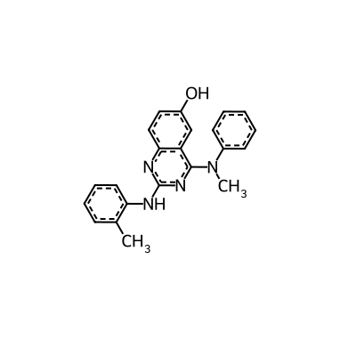 Cc1ccccc1Nc1nc(N(C)c2ccccc2)c2cc(O)ccc2n1